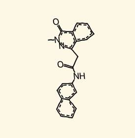 Cn1nc(CC(=O)Nc2ccc3ccccc3c2)c2ccccc2c1=O